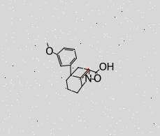 COc1cccc(C23CCCC(C2=CC(=O)O)N(C)CC3)c1